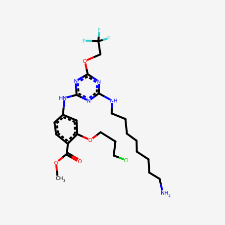 COC(=O)c1ccc(Nc2nc(NCCCCCCCCN)nc(OCC(F)(F)F)n2)cc1OCCCCl